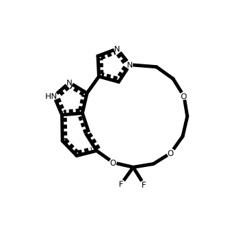 FC1(F)COCCOCCn2cc(cn2)-c2n[nH]c3ccc(cc23)O1